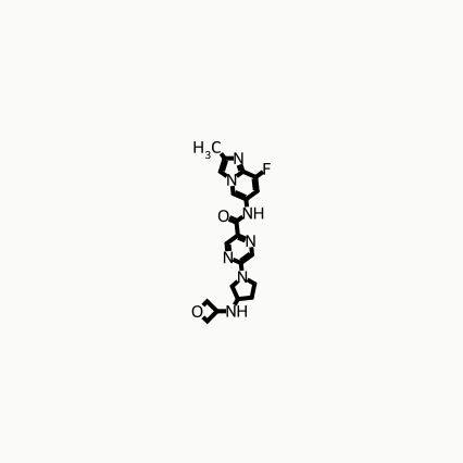 Cc1cn2cc(NC(=O)c3cnc(N4CCC(NC5COC5)C4)cn3)cc(F)c2n1